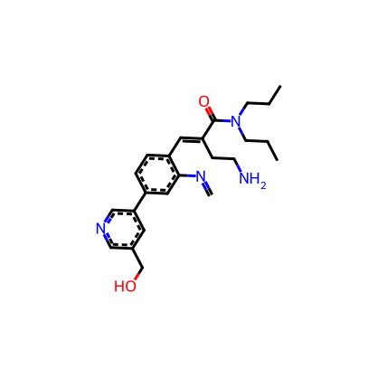 C=Nc1cc(-c2cncc(CO)c2)ccc1/C=C(\CCN)C(=O)N(CCC)CCC